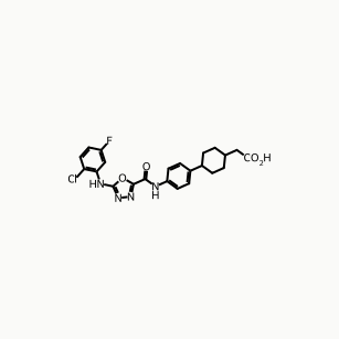 O=C(O)CC1CCC(c2ccc(NC(=O)c3nnc(Nc4cc(F)ccc4Cl)o3)cc2)CC1